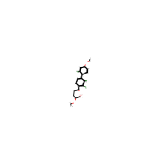 CCOc1ccc(-c2ccc(C3CCC(OCC)CO3)c(F)c2F)c(F)c1